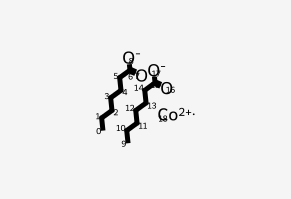 CCCCCCC(=O)[O-].CCCCCCC(=O)[O-].[Co+2]